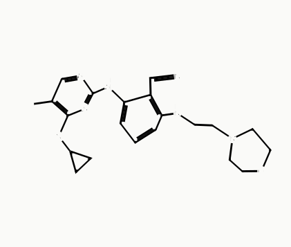 N=Cc1c(NCCN2CCOCC2)cccc1Nc1ncc(C(F)(F)F)c(NC2CC2)n1